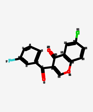 O=C(c1cccc(F)c1)c1coc2ccc(Cl)cc2c1=O